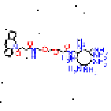 NCC1CC(N)C(CNC(=O)CCOCCOCCNC(=O)CCC(=O)N2Cc3ccccc3/C=C\c3ccccc32)C(N)CC(N)C(N)CC(N)C1N